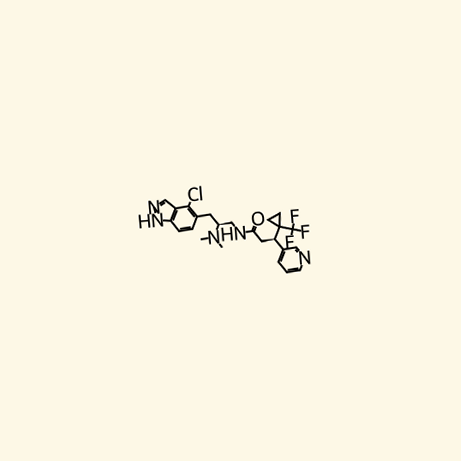 CN(C)[C@H](CNC(=O)C[C@H](c1cccnc1)C1(C(F)(F)F)CC1)Cc1ccc2[nH]ncc2c1Cl